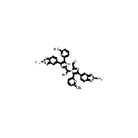 Cc1cccc(-c2[nH]c(C(O)n3c(C=O)nc(-c4ccc5nn(C)nc5c4)c3-c3cccc(C)n3)nc2-c2ccc3nn(C)nc3c2)n1